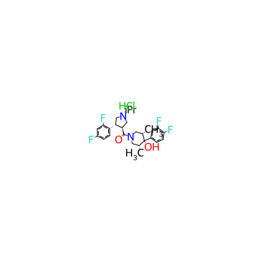 CC(C)N1C[C@@H](C(=O)N2C[C@@H](C)C(O)(c3ccc(F)c(F)c3)[C@@H](C)C2)[C@H](c2ccc(F)cc2F)C1.Cl